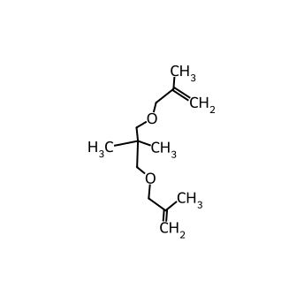 C=C(C)COCC(C)(C)COCC(=C)C